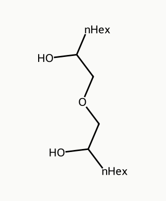 CCCCCCC(O)COCC(O)CCCCCC